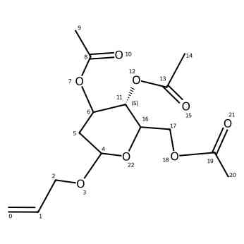 C=CCOC1CC(OC(C)=O)[C@H](OC(C)=O)C(COC(C)=O)O1